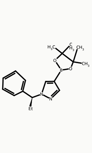 CC[C@@H](c1ccccc1)n1cc(B2OC(C)(C)C(C)(C)O2)cn1